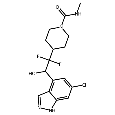 CNC(=O)N1CCC(C(F)(F)C(O)c2cc(Cl)cc3[nH]ncc23)CC1